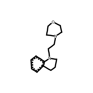 c1ccc2c(c1)CCCN2CCN1CCOCC1